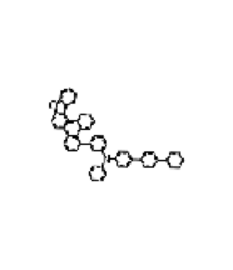 c1ccc(-c2ccc(-c3ccc(N(c4ccccc4)c4cccc(-c5cccc6c7ccc8oc9ccccc9c8c7c7ccccc7c56)c4)cc3)cc2)cc1